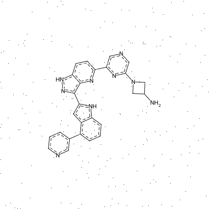 NC1CN(c2cncc(-c3ccc4[nH]nc(-c5cc6c(-c7cccnc7)cccc6[nH]5)c4n3)n2)C1